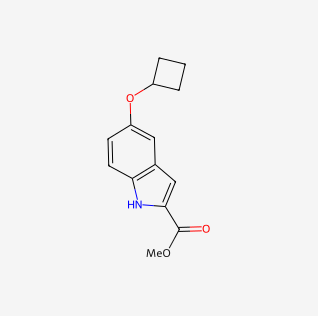 COC(=O)c1cc2cc(OC3CCC3)ccc2[nH]1